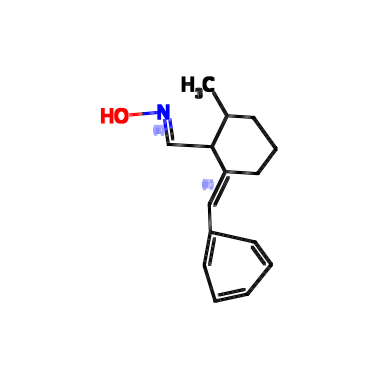 CC1CCC/C(=C\c2ccccc2)C1/C=N/O